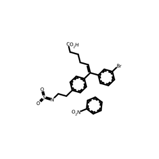 O=C(O)CCC/C=C(\c1ccc(CCN=S(=O)=O)cc1)c1cccc(Br)c1.O=[N+]([O-])c1ccccc1